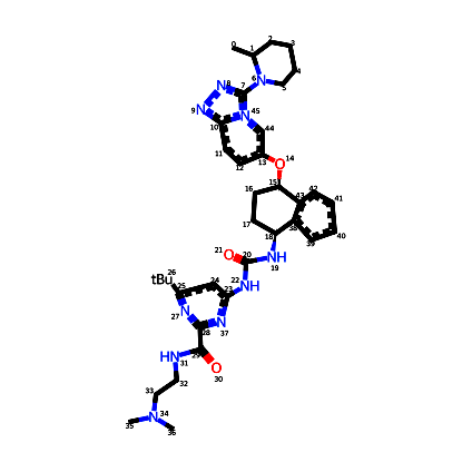 CC1CCCCN1c1nnc2ccc(O[C@@H]3CC[C@H](NC(=O)Nc4cc(C(C)(C)C)nc(C(=O)NCCN(C)C)n4)c4ccccc43)cn12